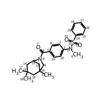 CN(c1ccc(C(=O)N2CC3(C)CC2CC(C)(C)C3)cc1)S(=O)(=O)c1ccccc1